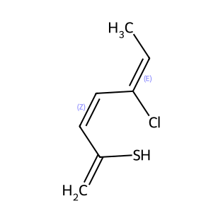 C=C(S)/C=C\C(Cl)=C/C